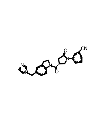 N#Cc1cccc(N2C[C@H](C(=O)N3CCc4cc(Cn5ccnc5)ccc43)CC2=O)c1